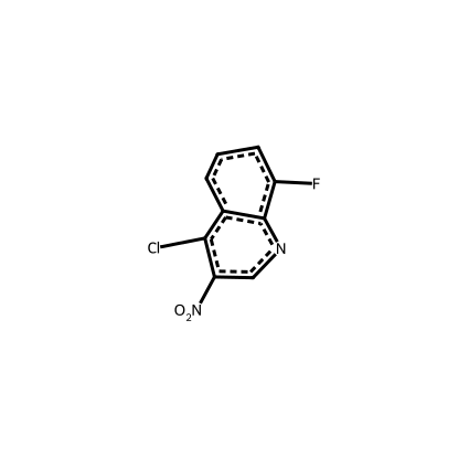 O=[N+]([O-])c1cnc2c(F)cccc2c1Cl